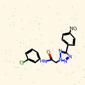 O=Nc1ccc(-c2nnn(CC(=O)Nc3cccc(Cl)c3)n2)cc1